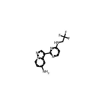 Nc1ccn2ncc(-c3nccc(NCC(F)(F)F)n3)c2c1